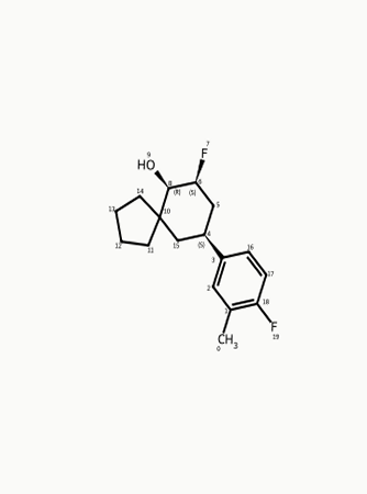 Cc1cc([C@@H]2C[C@H](F)[C@H](O)C3(CCCC3)C2)ccc1F